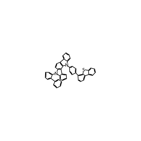 c1ccc(-c2ccccc2-n2c3ccccc3c3c2ccc2c4ccccc4n(-c4ccc(-c5cccc6c5sc5ccccc56)cc4)c23)cc1